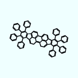 C1=C2c3c(-c4ccccc4)c(-c4ccccc4)c(-c4ccccc4)c(-c4ccccc4)c3-c3ccc4c(c(c5c6c7c(ccc64)-c4c(c(-c6ccccc6)c(-c6ccccc6)c(-c6ccccc6)c4-c4ccccc4)C7=CC5)C1)c32